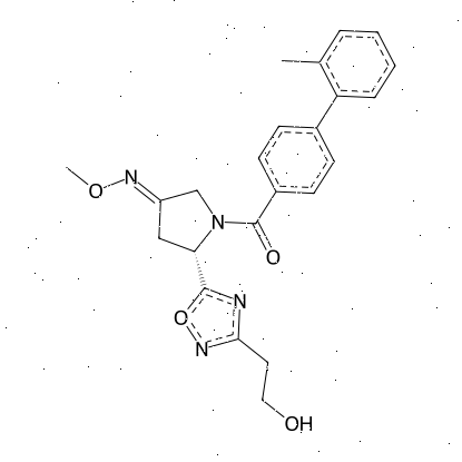 CO/N=C1\C[C@@H](c2nc(CCO)no2)N(C(=O)c2ccc(-c3ccccc3C)cc2)C1